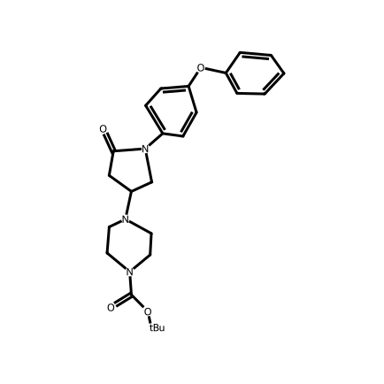 CC(C)(C)OC(=O)N1CCN(C2CC(=O)N(c3ccc(Oc4ccccc4)cc3)C2)CC1